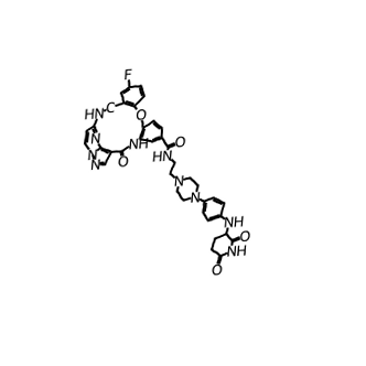 O=C1CCC(Nc2ccc(N3CCN(CCNC(=O)c4ccc5c(c4)NC(=O)c4cnn6ccc(nc46)NCc4cc(F)ccc4O5)CC3)cc2)C(=O)N1